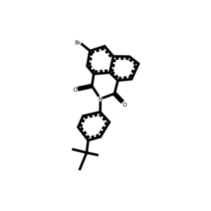 CC(C)(C)c1ccc(N2C(=O)c3cccc4cc(Br)cc(c34)C2=O)cc1